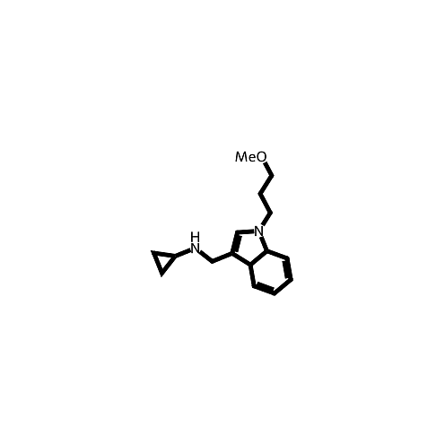 COCCCN1C=C(CNC2CC2)C2C=CC=CC21